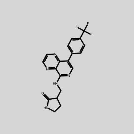 O=C1NCCC1CNc1ncc(-c2ccc(C(F)(F)F)cc2)c2nccnc12